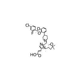 C[C@@H]([C@@H]1COC(C)(C)C1)n1c(/C=C/C(=O)O)cnc1CN1CCC(c2cccc3c2O[C@@](C)(c2ccc(Cl)cc2F)O3)CC1